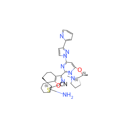 C[C@H](Oc1cc(-n2ccc(-c3ccccn3)n2)nc(-c2noc3c2CCC[C@@]32CCCc3sc(N)c(C#N)c32)n1)[C@@H]1CCCN1C